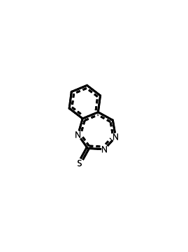 S=c1nncc2ccccc2n1